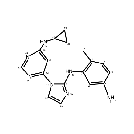 Cc1ccc(N)cc1Nc1nccn1-c1cc(NC2CC2)ncn1